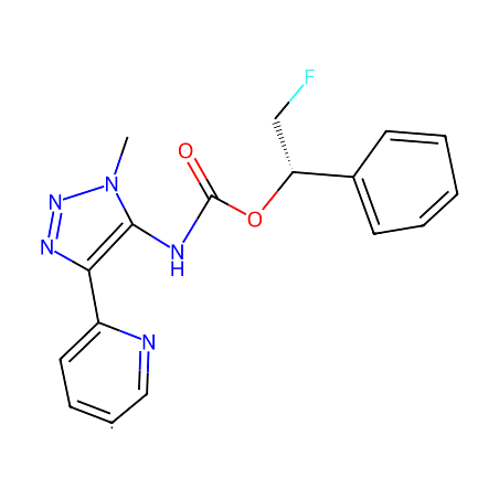 Cn1nnc(-c2cc[c]cn2)c1NC(=O)O[C@H](CF)c1ccccc1